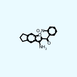 Nc1c(C(=O)c2ccccc2[N+](=O)[O-])oc2cc3c(cc12)CCC3